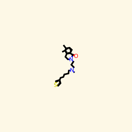 Cc1ccc2c(c1C)CCN(CCCN(C)CCCCCc1ccsc1)C2=O